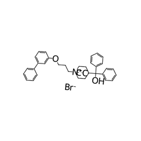 OC(c1ccccc1)(c1ccccc1)C12CC[N+](CCCOc3cccc(-c4ccccc4)c3)(CC1)CC2.[Br-]